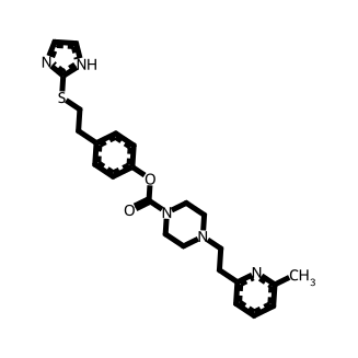 Cc1cccc(CCN2CCN(C(=O)Oc3ccc(CCSc4ncc[nH]4)cc3)CC2)n1